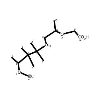 CCC(C)OC(C)C(C)(C)C(C)(C)OCC(C)OCC(=O)O